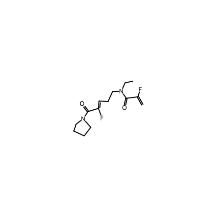 C=C(F)C(=O)N(CC)CC/C=C(\F)C(=O)N1CCCC1